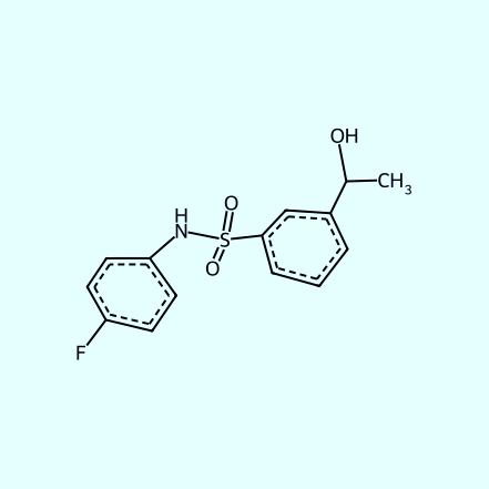 CC(O)c1cccc(S(=O)(=O)Nc2ccc(F)cc2)c1